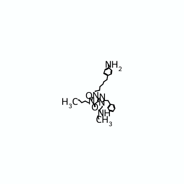 CCCCCn1c(=O)c2c(nc(Cc3ccccc3)n2CCNCC)n(CCCCCCc2ccc(N)cc2)c1=O